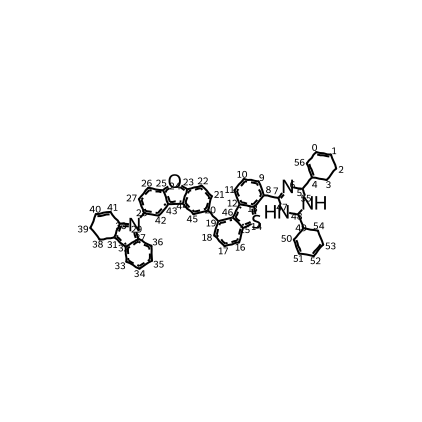 C1=CCCC(C2N=C(c3cccc4c3sc3cccc(-c5ccc6oc7ccc(-n8c9c(c%10ccccc%108)CCC=C9)cc7c6c5)c34)NC(C3C=CC=CC3)N2)=C1